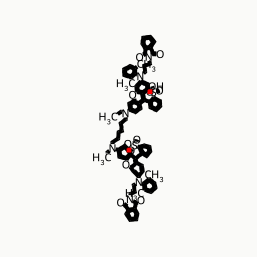 CCN(CCCCCCN(CC)c1ccc2c(-c3ccccc3S(=O)(=O)O)c3ccc(N(CCCN4C(=O)c5ccccc5C4=O)c4c(C)cccc4C)cc3[o+]c2c1)c1ccc2c(c1)OC1C=C(N(CCCN3C(=O)c4ccccc4C3=O)c3c(C)cccc3C)C=CC1=C2c1ccccc1S(=O)(=O)[O-]